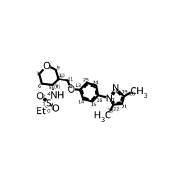 CCS(=O)(=O)N[C@@H]1CCOC[C@H]1COc1ccc(-n2nc(C)cc2C)cc1